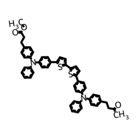 COC(=O)CCc1ccc(N(c2ccccc2)c2ccc(-c3ccc(-c4ccc(-c5ccc(N(c6ccccc6)c6ccc(CCC(C)=O)cc6)cc5)s4)s3)cc2)cc1